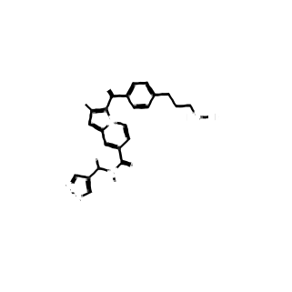 CCc1cc2cc(C(=O)N(CC)C(C)c3cn[nH]c3)ccn2c1C(=O)c1ccc(CCCNC(C)(C)C)cc1